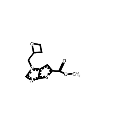 COC(=O)c1cc2c(ncn2CC2CCO2)s1